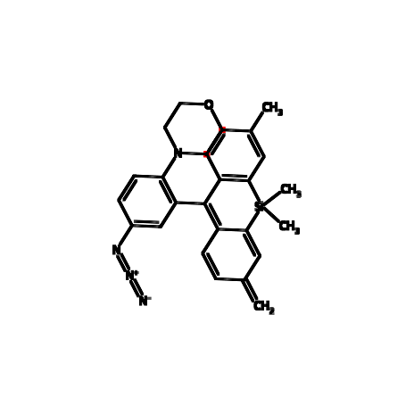 C=c1ccc2c(c1)[Si](C)(C)c1cc(C)ccc1C=2c1cc(N=[N+]=[N-])ccc1N1CCOCC1